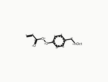 C=CC(=O)OOc1ccc(CCCCCCCCC)cc1